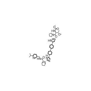 COC(=O)N[C@H](C(=O)N1CCC[C@H]1c1ncc(-c2ccc(-c3ccc(-c4cnc([C@@H]5C6CCC(C6)[C@H]5C(=O)NCc5ccc(C(C)C)nc5)[nH]4)cc3)cc2)[nH]1)[C@@H](C)OC